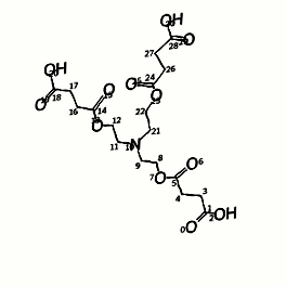 O=C(O)CCC(=O)OCCN(CCOC(=O)CCC(=O)O)CCOC(=O)CCC(=O)O